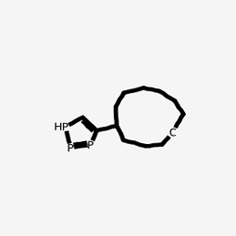 c1[pH]ppc1C1CCCCCCCCCC1